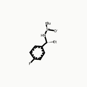 CC[C@@H](N[S@+]([O-])C(C)(C)C)c1ccc(F)cc1